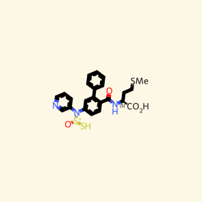 CSCC[C@H](NC(=O)c1ccc(N(c2cccnc2)[S+]([O-])S)cc1-c1ccccc1)C(=O)O